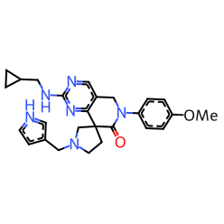 COc1ccc(N2Cc3cnc(NCC4CC4)nc3C3(CCN(Cc4cc[nH]c4)C3)C2=O)cc1